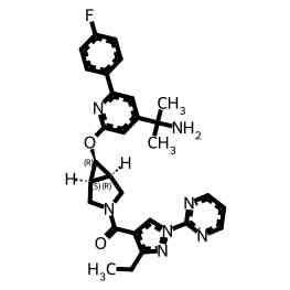 CCc1nn(-c2ncccn2)cc1C(=O)N1C[C@@H]2[C@H](C1)[C@@H]2Oc1cc(C(C)(C)N)cc(-c2ccc(F)cc2)n1